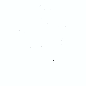 C=CCOC1O[C@H](COC(=O)c2ccc(C)cc2)[C@@H](OC(=O)c2ccc(C)cc2)[C@@]1(C)O